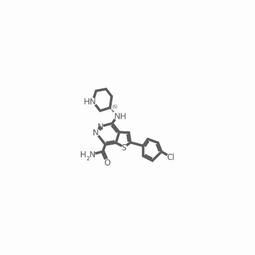 NC(=O)c1nnc(N[C@H]2CCCNC2)c2cc(-c3ccc(Cl)cc3)sc12